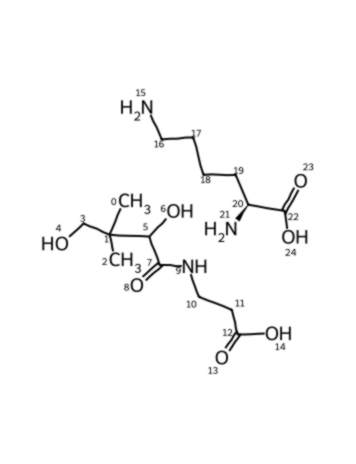 CC(C)(CO)C(O)C(=O)NCCC(=O)O.NCCCC[C@H](N)C(=O)O